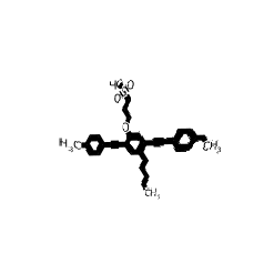 CCCCCc1cc(C#Cc2ccc(C)cc2)c(OCCCS(=O)(=O)O)cc1C#Cc1ccc(CC)cc1